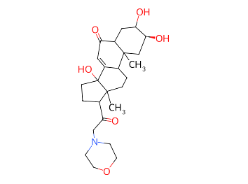 CC12C[C@H](O)C(O)CC1C(=O)C=C1C2CCC2(C)C(C(=O)CN3CCOCC3)CCC12O